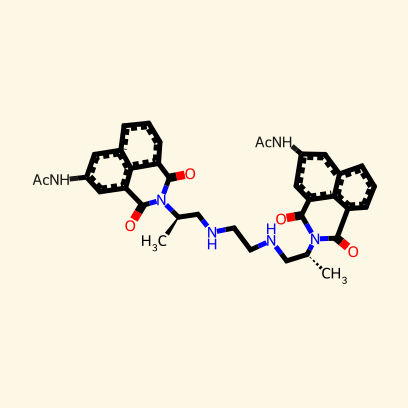 CC(=O)Nc1cc2c3c(cccc3c1)C(=O)N([C@H](C)CNCCNC[C@@H](C)N1C(=O)c3cccc4cc(NC(C)=O)cc(c34)C1=O)C2=O